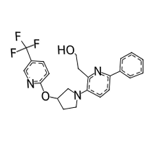 OCCc1nc(-c2ccccc2)ccc1N1CCC(Oc2ccc(C(F)(F)F)cn2)C1